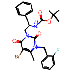 Cc1c(Br)c(=O)n(C[C@H](NC(=O)OC(C)(C)C)c2ccccc2)c(=O)n1Cc1ccccc1F